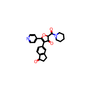 O=C1CCc2cc(C3=C(c4ccncc4)OC(C(=O)N4CCCCC4)C3=O)ccc21